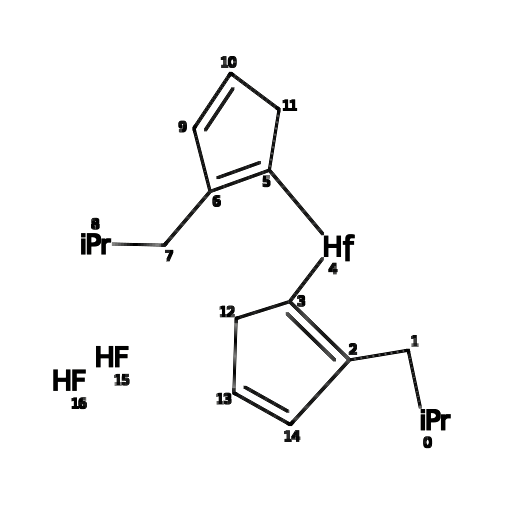 CC(C)CC1=[C]([Hf][C]2=C(CC(C)C)C=CC2)CC=C1.F.F